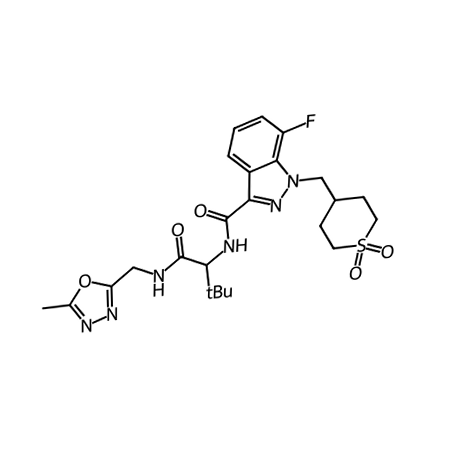 Cc1nnc(CNC(=O)C(NC(=O)c2nn(CC3CCS(=O)(=O)CC3)c3c(F)cccc23)C(C)(C)C)o1